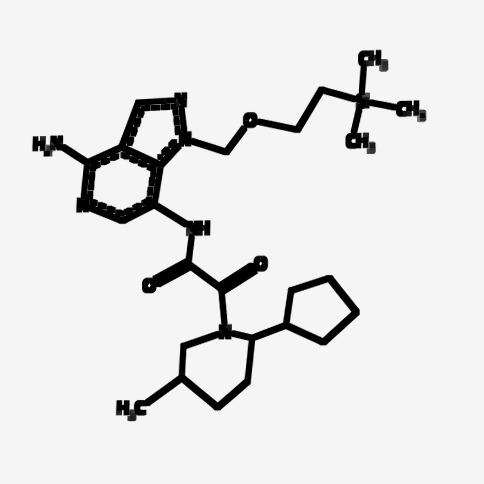 CC1CCC(C2CCCC2)N(C(=O)C(=O)Nc2cnc(N)c3cnn(COCC[Si](C)(C)C)c23)C1